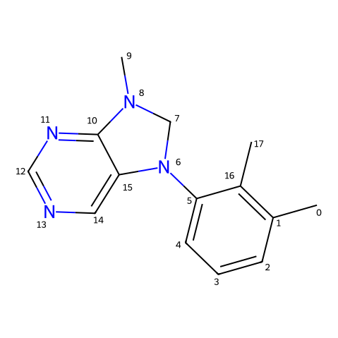 Cc1cccc(N2CN(C)c3ncncc32)c1C